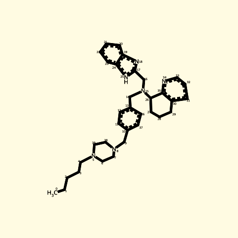 CCCCCN1CCN(Cc2ccc(CN(Cc3nc4ccccc4[nH]3)C3CCCc4cccnc43)cc2)CC1